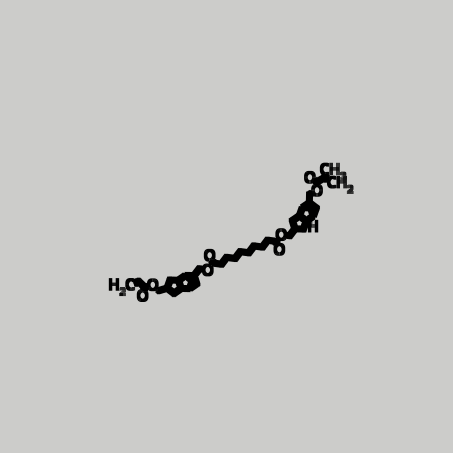 C=CC(=O)OCC1CC2C3CC(COC(=O)CCCCCCCCC(=O)OCC4CC5C6CC(CC6COC(=O)C(=C)C)[C@H]5C4)C(C3)C2C1